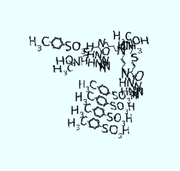 CC(O)NCCSCCC(/N=C\CCCN(C)CCC/C=N\C(CCSCCNC(C)O)C(=O)Nc1nnn[nH]1)C(=O)Nc1nnn[nH]1.Cc1ccc(S(=O)(=O)O)cc1.Cc1ccc(S(=O)(=O)O)cc1.Cc1ccc(S(=O)(=O)O)cc1.Cc1ccc(S(=O)(=O)O)cc1.Cc1ccc(S(=O)(=O)O)cc1